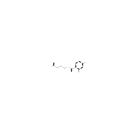 O=C(O)CCCNC(=O)c1ccc(Cl)cc1O